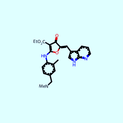 CCOC(=O)C1=C(Nc2ccc(CNC)cc2C)OC(=Cc2c[nH]c3ncccc23)C1=O